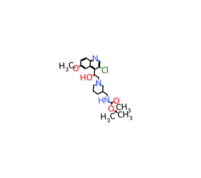 COc1ccc2ncc(Cl)c(C(O)CN3CCCC(CNC(=O)OC(C)(C)C)C3)c2c1